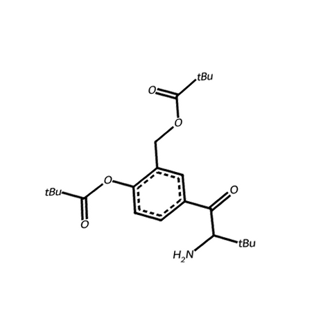 CC(C)(C)C(=O)OCc1cc(C(=O)C(N)C(C)(C)C)ccc1OC(=O)C(C)(C)C